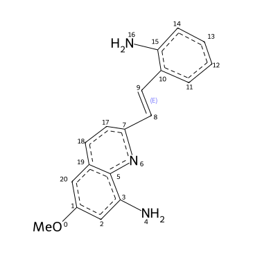 COc1cc(N)c2nc(/C=C/c3ccccc3N)ccc2c1